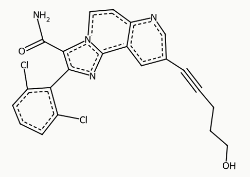 NC(=O)c1c(-c2c(Cl)cccc2Cl)nc2c3cc(C#CCCCO)cnc3ccn12